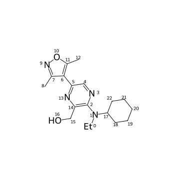 CCN(c1ncc(-c2c(C)noc2C)nc1CO)C1CCCCC1